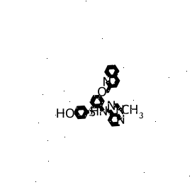 CN1C=NC(Nc2cc(OCc3ccc4ccccc4n3)ccc2Sc2ccc(O)cc2)=C2CC=CN=C21